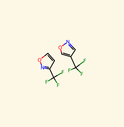 FC(F)(F)c1ccon1.FC(F)(F)c1cnoc1